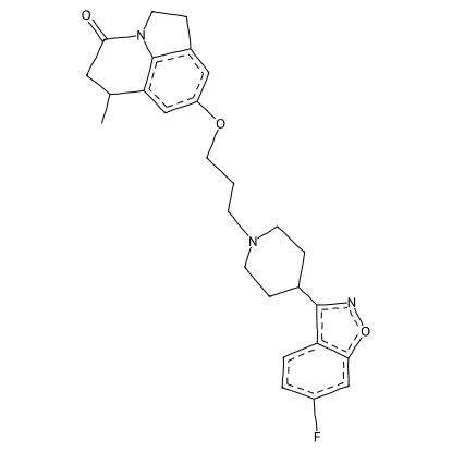 CC1CC(=O)N2CCc3cc(OCCCN4CCC(c5noc6cc(F)ccc56)CC4)cc1c32